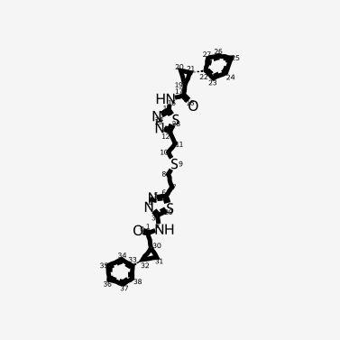 O=C(Nc1nnc(CCSCCc2nnc(NC(=O)C3C[C@@H]3c3ccccc3)s2)s1)C1C[C@@H]1c1ccccc1